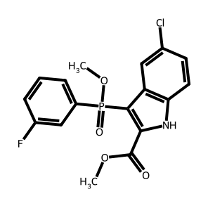 COC(=O)c1[nH]c2ccc(Cl)cc2c1P(=O)(OC)c1cccc(F)c1